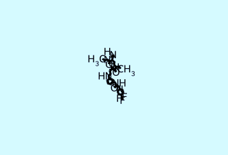 CCNC(=O)C(C#N)CC1SC(CCNc2cccc(NC(=O)CN3CCC(C(F)(F)F)CC3)c2)C(=O)N1CC